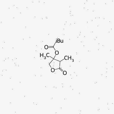 CCC(C)C(=O)OC1(C)COC(=O)C1C